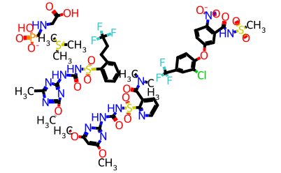 COc1cc(OC)nc(NC(=O)NS(=O)(=O)c2ncccc2C(=O)N(C)C)n1.COc1nc(C)nc(NC(=O)NS(=O)(=O)c2ccccc2CCC(F)(F)F)n1.CS(=O)(=O)NC(=O)c1cc(Oc2ccc(C(F)(F)F)cc2Cl)ccc1[N+](=O)[O-].C[S+](C)C.O=C(O)CNCP(=O)([O-])O